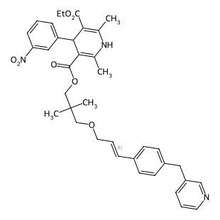 CCOC(=O)C1=C(C)NC(C)=C(C(=O)OCC(C)(C)COC/C=C/c2ccc(Cc3cccnc3)cc2)C1c1cccc([N+](=O)[O-])c1